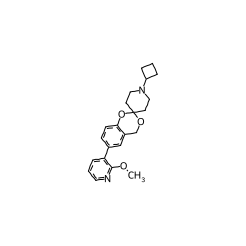 COc1ncccc1-c1ccc2c(c1)COC1(CCN(C3CCC3)CC1)O2